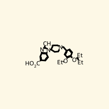 CCOc1cc(CN2CCC(n3c(C)nc4cc(C(=O)O)ccc43)CC2)ccc1OC(CC)CC